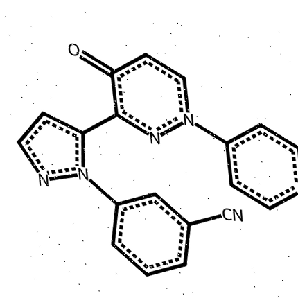 N#Cc1cccc(-n2nccc2-c2nn(-c3ccncc3)ccc2=O)c1